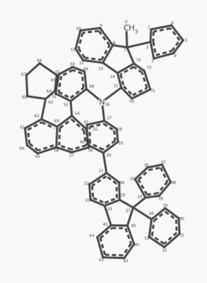 CC1(c2ccccc2)c2ccccc2-c2c(N(c3ccc(-c4ccc5c(c4)C(c4ccccc4)(c4ccccc4)c4ccccc4-5)cc3)c3ccccc3-c3cccc4cccc(C5CCCCC5)c34)cccc21